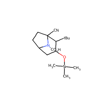 CC(C)(C)C1C(O[Si](C)(C)C)CC2CCC1(C#N)N2C(=O)O